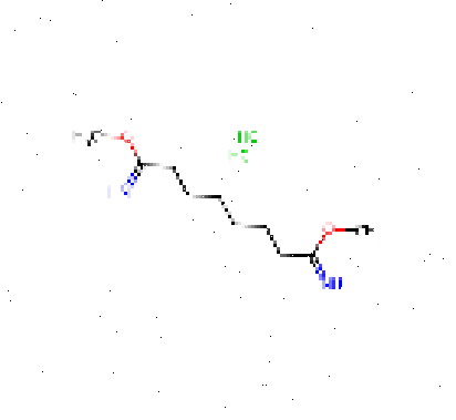 COC(=N)CCCCCCC(=N)OC.Cl.Cl